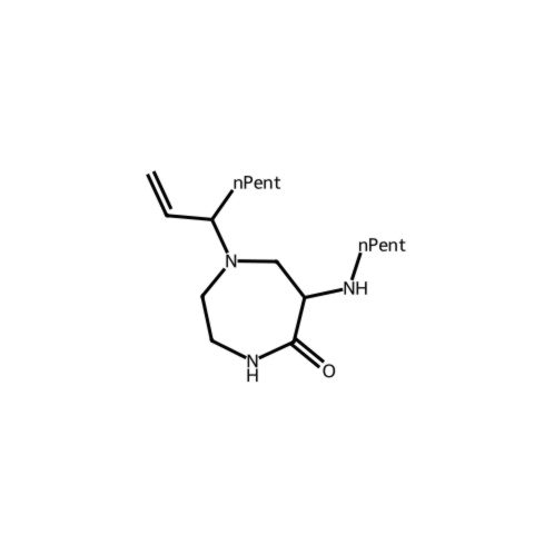 C=CC(CCCCC)N1CCNC(=O)C(NCCCCC)C1